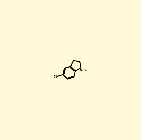 C[C@H]1CCc2cc(Cl)ccc21